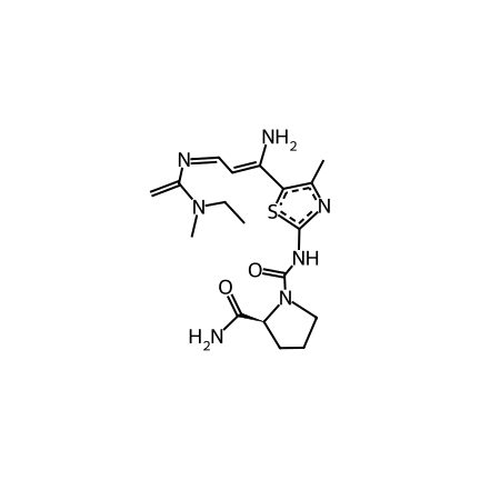 C=C(/N=C\C=C(/N)c1sc(NC(=O)N2CCC[C@H]2C(N)=O)nc1C)N(C)CC